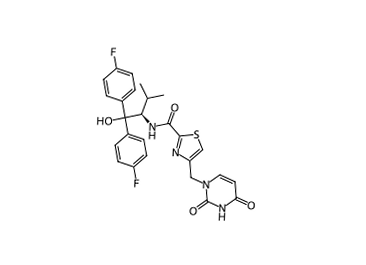 CC(C)[C@@H](NC(=O)c1nc(Cn2ccc(=O)[nH]c2=O)cs1)C(O)(c1ccc(F)cc1)c1ccc(F)cc1